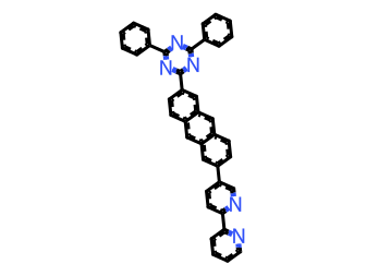 c1ccc(-c2nc(-c3ccccc3)nc(-c3ccc4cc5cc(-c6ccc(-c7ccccn7)nc6)ccc5cc4c3)n2)cc1